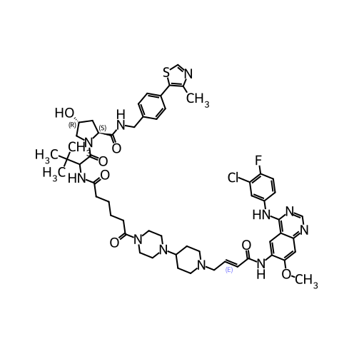 COc1cc2ncnc(Nc3ccc(F)c(Cl)c3)c2cc1NC(=O)/C=C/CN1CCC(N2CCN(C(=O)CCCCC(=O)NC(C(=O)N3C[C@H](O)C[C@H]3C(=O)NCc3ccc(-c4scnc4C)cc3)C(C)(C)C)CC2)CC1